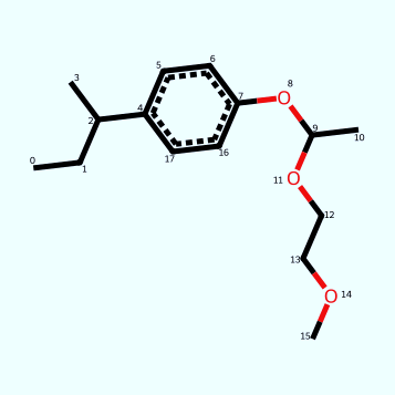 CCC(C)c1ccc(OC(C)OCCOC)cc1